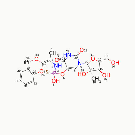 CC(N[P@@](O)(=S)Oc1cn([C@@H]2O[C@H](CO)[C@@H](O)[C@@]2(C)O)c(=O)[nH]c1=O)=C(Oc1ccccc1)OC(C)C